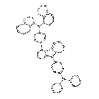 c1ccc(N(c2ccccc2)c2ccc(-n3c4ccccc4c4c(-c5ccc(N(c6cccc7ccccc67)c6cccc7ccccc67)cc5)cccc43)cc2)cc1